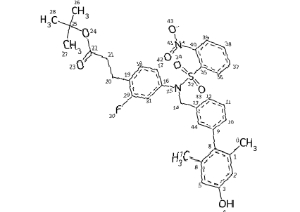 Cc1cc(O)cc(C)c1-c1cccc(CN(c2ccc(CCC(=O)OC(C)(C)C)c(F)c2)S(=O)(=O)c2ccccc2[N+](=O)[O-])c1